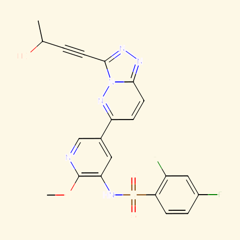 COc1ncc(-c2ccc3nnc(C#CC(C)O)n3n2)cc1NS(=O)(=O)c1ccc(F)cc1F